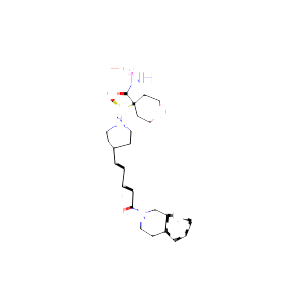 C=S(N1CCC(/C=C/C=C/C(=O)N2CCc3ccccc3C2)CC1)C1(C(=O)NO)CCOCC1